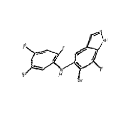 Fc1cc(F)c(Nc2cc3cn[nH]c3c(F)c2Br)cc1F